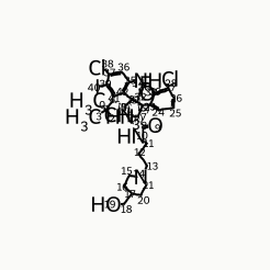 CC(C)(C)C[C@H]1N[C@@H](C(=O)NCCCN2CCC(CO)CC2)[C@H](c2cccc(Cl)c2F)[C@@]12C(=O)Nc1cc(Cl)c(I)cc12